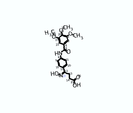 COc1cc(C(=O)Nc2ccc(/C(CCC(=O)O)=N\O)cc2)cc(OC)c1OC